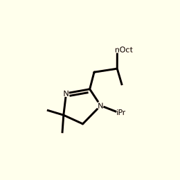 CCCCCCCCC(C)CC1=NC(C)(C)CN1C(C)C